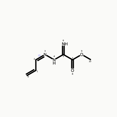 C=C/C=N\NC(=N)C(=O)OC